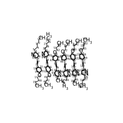 CCCCCCc1ccc(C#Cc2ccc(OCCCC)cc2)nn1.CCCCCc1ccc(C#Cc2ccc(OCCCC)cc2)nn1.CCCCOc1ccc(C#Cc2ccc(C)nn2)cc1.CCCCOc1ccc(C#Cc2ccc(CC)nn2)cc1.CCCCOc1ccc(C#Cc2ccc(CCC)nn2)cc1.CCCCOc1ccc(C#Cc2ccc(CCCC)nn2)cc1